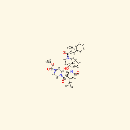 C[C@H](CC1CCCCC1)C(=O)N1CCC(O)(Cn2cc(C(=O)N3CCN(C(=O)OC(C)(C)C)CC3)c(C3CC3)cc2=O)C2(CCCC2)C1